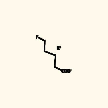 O=C([O-])CCCCF.[K+]